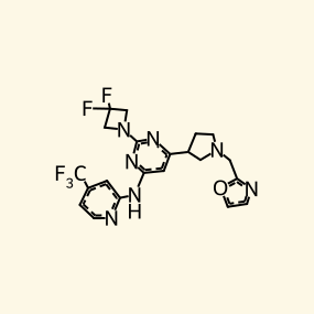 FC1(F)CN(c2nc(Nc3cc(C(F)(F)F)ccn3)cc(C3CCN(Cc4ncco4)C3)n2)C1